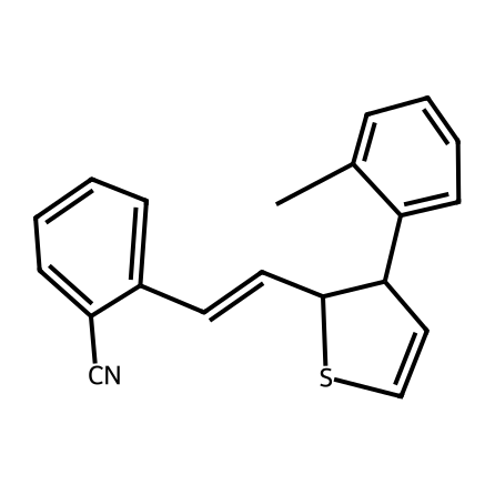 Cc1ccccc1C1C=CSC1C=Cc1ccccc1C#N